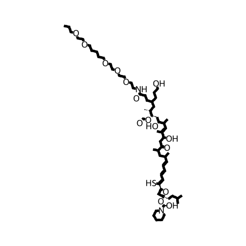 CCCOCCOCCCCCOCCOCCOCCNC(=O)CCC(CCCO)C[C@@H](C)[C@H](C[C@@H](O)C(C)/C=C(\C)C(O)CC(=O)C(C)CC(C)/C=C/C=C/C=C(\S)[C@@H]1C[C@](CCC(C)C)(O[C@@H](O)N2CCCCC2)O1)OC=O